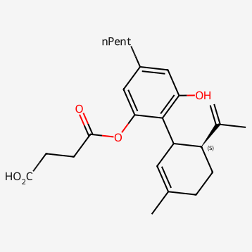 C=C(C)[C@H]1CCC(C)=CC1c1c(O)cc(CCCCC)cc1OC(=O)CCC(=O)O